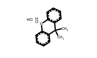 CC1(C)c2ccccc2Oc2ccccc21.Cl.Cl